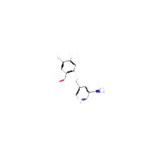 N#Cc1cncc(COc2cc(O)c(I)cc2C=O)c1